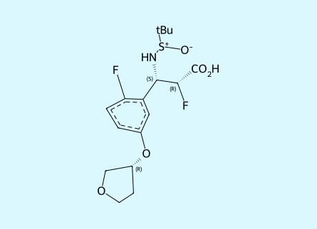 CC(C)(C)[S+]([O-])N[C@@H](c1cc(O[C@@H]2CCOC2)ccc1F)[C@@H](F)C(=O)O